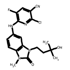 Cn1c(=O)n(CCC(C)(C)O)c2cc(Nc3nc(Cl)c(C#N)cc3F)ccc21